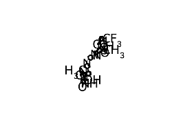 Cn1c(=O)n(C2CCC(=O)NC2O)c2cccc(C3CCN(C[C@H]4CC[C@H](n5cc6cc(NC(=O)c7cccc(C(F)(F)F)n7)c(S(C)(=O)=O)cc6n5)CC4)CC3)c21